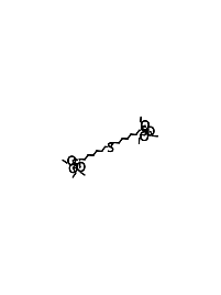 CCO[Si](CCCCCCCSCCCCCCC[Si](OCC)(OCC)OCC)(OCC)OCC